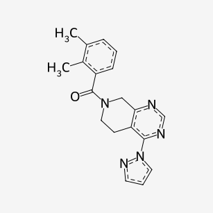 Cc1cccc(C(=O)N2CCc3c(ncnc3-n3cccn3)C2)c1C